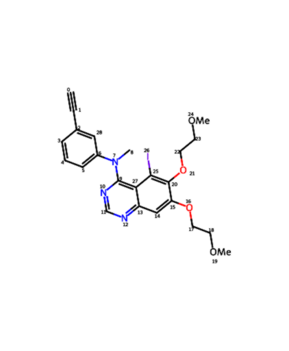 C#Cc1cccc(N(C)c2ncnc3cc(OCCOC)c(OCCOC)c(I)c23)c1